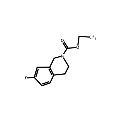 CCOC(=O)N1CCc2ccc(F)cc2C1